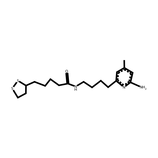 Cc1cc(N)nc(CCCCNC(=O)CCCCC2CCSS2)c1